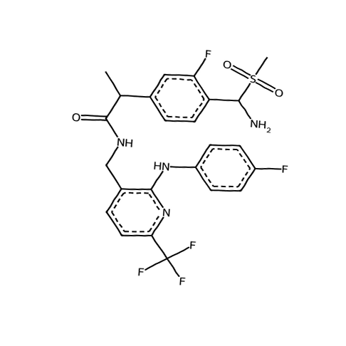 CC(C(=O)NCc1ccc(C(F)(F)F)nc1Nc1ccc(F)cc1)c1ccc(C(N)S(C)(=O)=O)c(F)c1